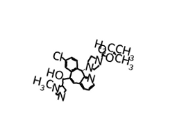 CN1C=NCC1C(O)C1=Cc2cccnc2[C@@H](N2CCN(C(=O)OC(C)(C)C)CC2)c2ccc(Cl)cc21